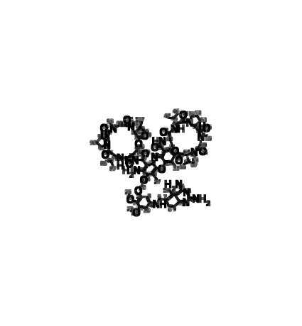 COc1cc(NCc2ccc3nc(N)nc(N)c3c2C)cc(OC)c1OC.Cc1c2oc3c(C)ccc(C(=O)N[C@@H]4C(=O)N[C@H](C(C)C)C(=O)N5CCC[C@H]5C(=O)N(C)CC(=O)N(C)[C@@H](C(C)C)C(=O)O[C@@H]4C)c3nc-2c(C(=O)N[C@@H]2C(=O)N[C@H](C(C)C)C(=O)N3CCC[C@H]3C(=O)N(C)CC(=O)N(C)[C@@H](C(C)C)C(=O)O[C@@H]2C)c(N)c1=O